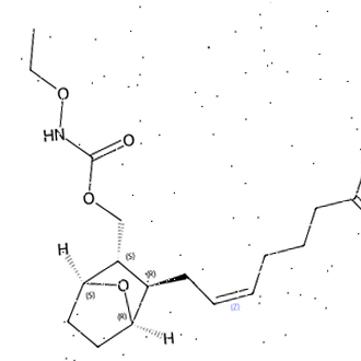 CCONC(=O)OC[C@@H]1[C@@H](C/C=C\CCCC(=O)O)[C@H]2CC[C@@H]1O2